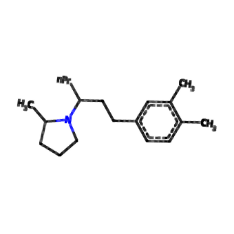 CCCC(CCc1ccc(C)c(C)c1)N1CCCC1C